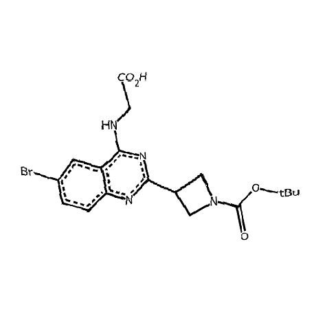 CC(C)(C)OC(=O)N1CC(c2nc(NCC(=O)O)c3cc(Br)ccc3n2)C1